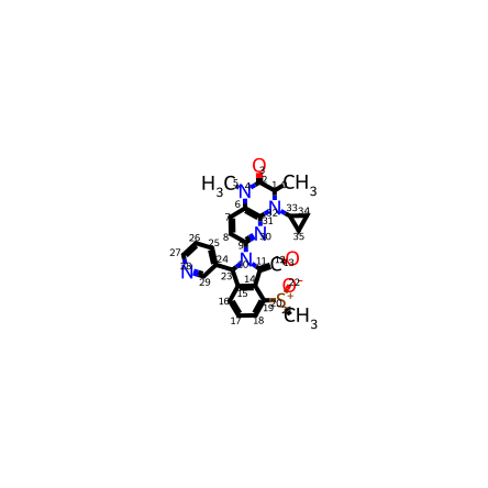 CC1C(=O)N(C)c2ccc(N3C(=C=O)c4c(cccc4[S+](C)[O-])C3c3cccnc3)nc2N1C1CC1